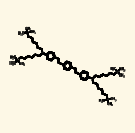 C[N+](C)(C)CCCCCCN(CCCCCC[N+](C)(C)C)c1ccc(/C=C/c2ccc(/C=C/c3ccc(N(CCCCCC[N+](C)(C)C)CCCCCC[N+](C)(C)C)cc3)cc2)cc1